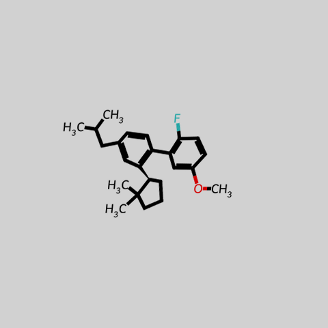 COc1ccc(F)c(-c2ccc(CC(C)C)cc2[C@H]2CCCC2(C)C)c1